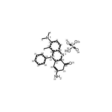 Cc1c(N(C)C)ccc2nc3c([n+](-c4ccccc4)c12)C=C(N)CC3=O.O=S(=O)([O-])O